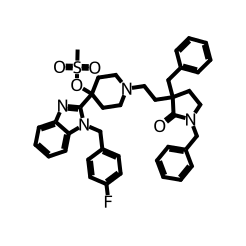 CS(=O)(=O)OC1(c2nc3ccccc3n2Cc2ccc(F)cc2)CCN(CCC2(Cc3ccccc3)CCN(Cc3ccccc3)C2=O)CC1